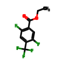 CCOC(=O)c1cc(F)c(C(F)(F)F)cc1F